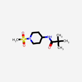 CC(C)(C)C(=O)NC1CCN(S(C)(=O)=O)CC1